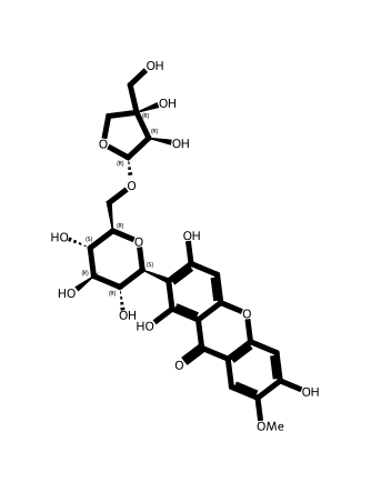 COc1cc2c(=O)c3c(O)c([C@@H]4O[C@H](CO[C@@H]5OC[C@](O)(CO)[C@H]5O)[C@@H](O)[C@H](O)[C@H]4O)c(O)cc3oc2cc1O